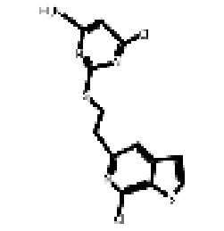 Nc1cc(Cl)nc(SCCc2cc3ccsc3c(Cl)n2)n1